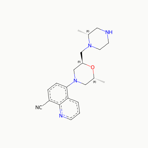 C[C@@H]1CN(c2ccc(C#N)c3ncccc23)C[C@@H](CN2CCNC[C@H]2C)O1